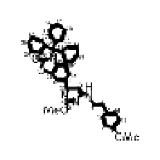 COc1ccc(CCNc2cc(-c3ccc4c(c3)oc(=O)n4C(c3ccccc3)(c3ccccc3)c3ccccc3)nc(OC)n2)cc1